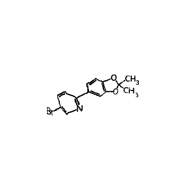 CC1(C)Oc2ccc(-c3ccc(Br)cn3)cc2O1